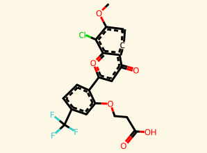 COc1ccc2c(=O)cc(-c3ccc(C(F)(F)F)cc3OCCC(=O)O)oc2c1Cl